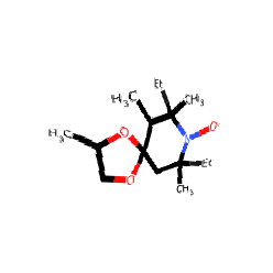 CCC1(C)CC2(OCC(C)O2)C(C)C(C)(CC)N1[O]